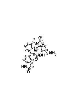 C[C@@H](c1cccc2c(-c3ccc4c(c3)CC(=O)N4)c(C(=O)O)[nH]c12)N1CC2(CC(CN)C2)OC1=O